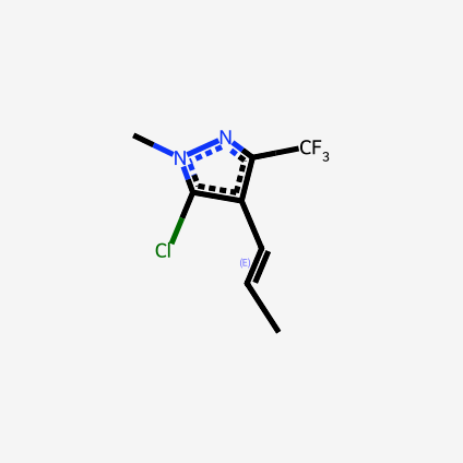 C/C=C/c1c(C(F)(F)F)nn(C)c1Cl